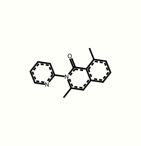 Cc1cccc2cc(C)n(-c3ccccn3)c(=O)c12